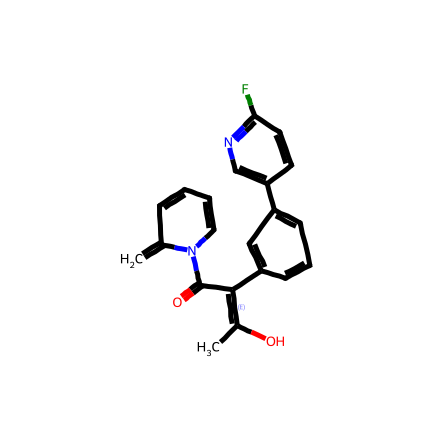 C=C1C=CC=CN1C(=O)/C(=C(\C)O)c1cccc(-c2ccc(F)nc2)c1